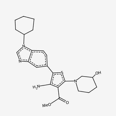 COC(=O)c1c(N2CCCC(O)C2)sc(-c2ccc3c(c2)ncn3C2CCCCC2)c1N